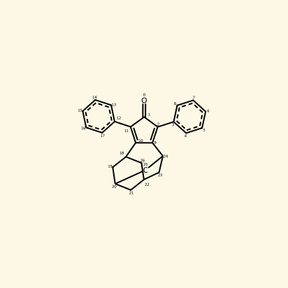 O=C1C(c2ccccc2)=C2C(=C1c1ccccc1)C1CC3CC(CC2C3)C1